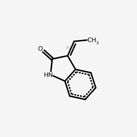 C/C=C1/C(=O)Nc2ccccc21